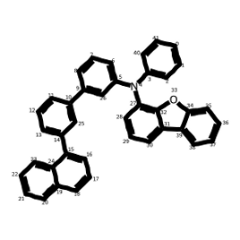 c1ccc(N(c2cccc(-c3cccc(-c4cccc5ccccc45)c3)c2)c2cccc3c2oc2ccccc23)cc1